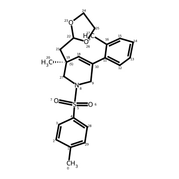 Cc1ccc(S(=O)(=O)N2CC(c3ccccc3C)=C[C@](C)(CC3OCCO3)C2)cc1